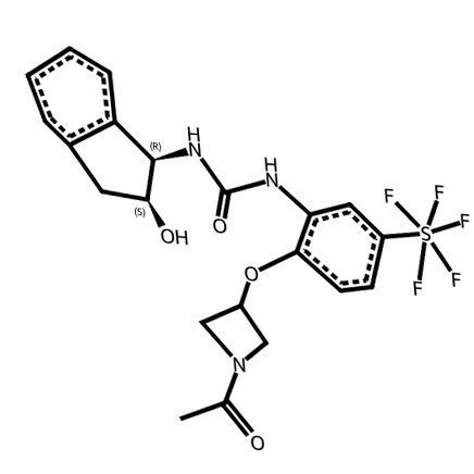 CC(=O)N1CC(Oc2ccc(S(F)(F)(F)(F)F)cc2NC(=O)N[C@@H]2c3ccccc3C[C@@H]2O)C1